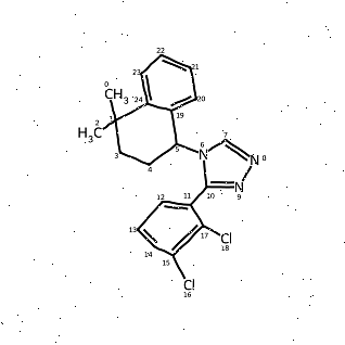 CC1(C)CCC(n2cnnc2-c2cccc(Cl)c2Cl)c2ccccc21